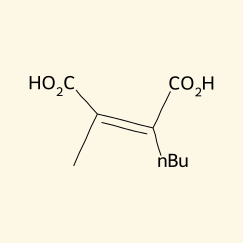 CCCC/C(C(=O)O)=C(\C)C(=O)O